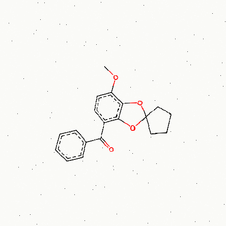 COc1ccc(C(=O)c2ccccc2)c2c1OC1(CCCC1)O2